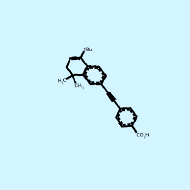 CC(C)(C)C1=CCC(C)(C)c2cc(C#Cc3ccc(C(=O)O)cc3)ccc21